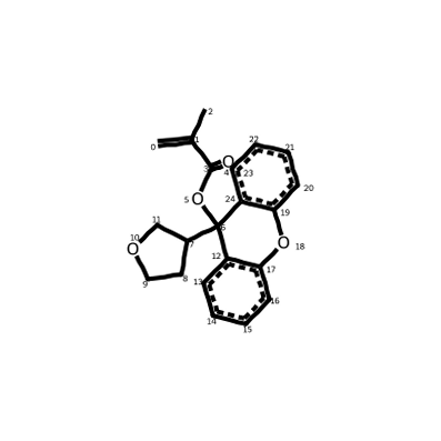 C=C(C)C(=O)OC1(C2CCOC2)c2ccccc2Oc2ccccc21